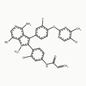 C=CC(=O)Nc1ccc(-c2c(-c3ccc(Oc4ncc(Cl)c(C)n4)c(F)c3)c3c(N)ncc(C#N)c3n2C)c(Cl)c1